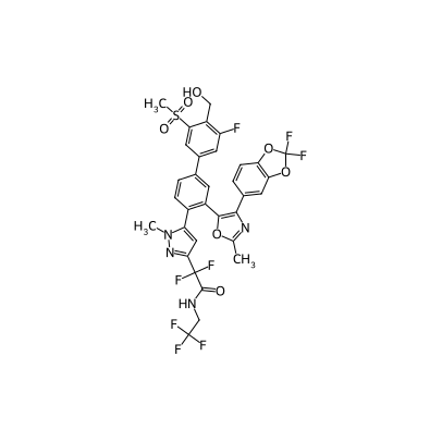 Cc1nc(-c2ccc3c(c2)OC(F)(F)O3)c(-c2cc(-c3cc(F)c(CO)c(S(C)(=O)=O)c3)ccc2-c2cc(C(F)(F)C(=O)NCC(F)(F)F)nn2C)o1